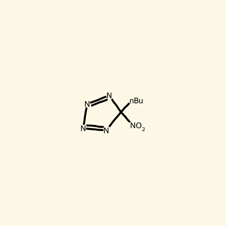 CCCCC1([N+](=O)[O-])N=NN=N1